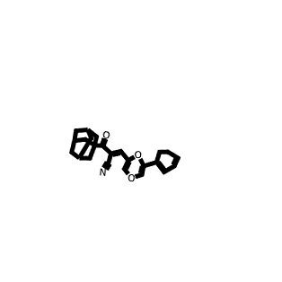 N#CC(=CC1=COC=C(C2=CC=CCC2)O1)C(=O)C12CC3CC(CC(C3)C1)C2